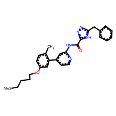 CSCCCCOc1ccc(C)c(-c2ccnc(NC(=O)c3nnc(Cc4ccccc4)[nH]3)c2)c1